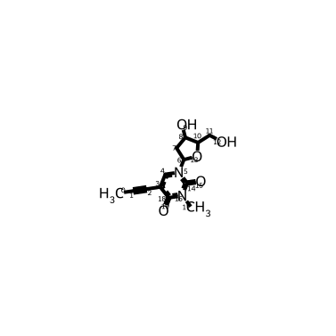 CC#Cc1cn(C2CC(O)C(CO)O2)c(=O)n(C)c1=O